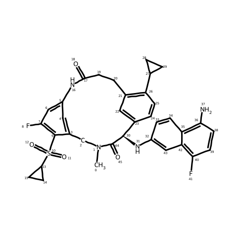 CN1Cc2cc(cc(F)c2S(=O)(=O)C2CC2)NC(=O)CCc2cc(ccc2C2CC2)[C@@H](Nc2ccc3c(N)ccc(F)c3c2)C1=O